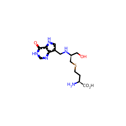 N[C@@H](CCSC[C@H](CO)NCc1c[nH]c2c(=O)[nH]cnc12)C(=O)O